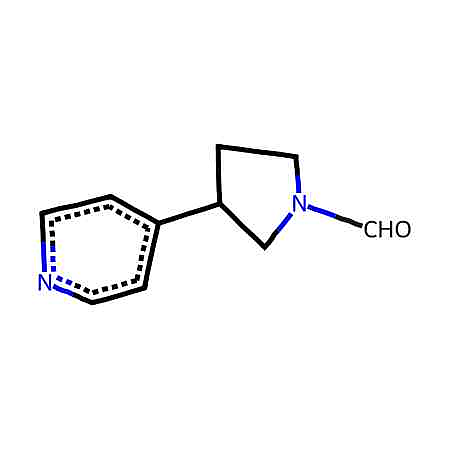 O=CN1CCC(c2ccncc2)C1